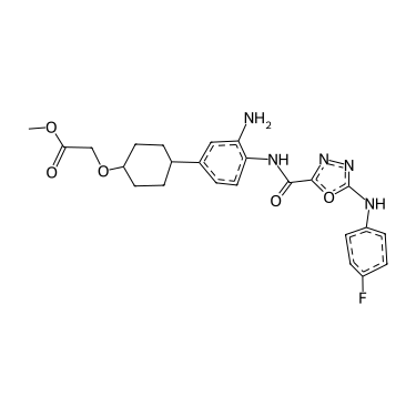 COC(=O)COC1CCC(c2ccc(NC(=O)c3nnc(Nc4ccc(F)cc4)o3)c(N)c2)CC1